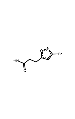 [NH]C(=O)CCc1cc(Br)no1